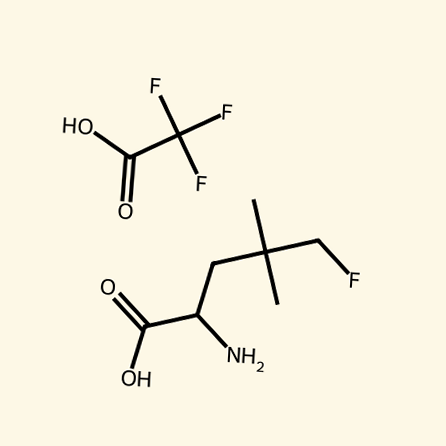 CC(C)(CF)CC(N)C(=O)O.O=C(O)C(F)(F)F